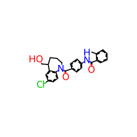 Cc1ccccc1C(=O)Nc1ccc(C(=O)N2CCCC(CO)c3cc(Cl)ccc32)cc1